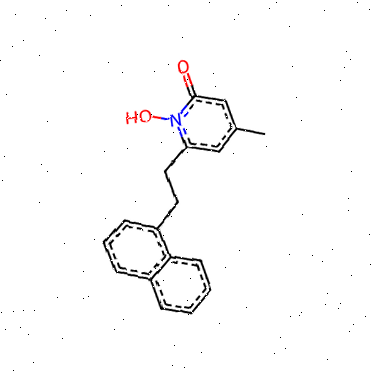 Cc1cc(CCc2cccc3ccccc23)n(O)c(=O)c1